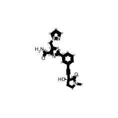 CN1CC[C@@](O)(C#Cc2cccc(-c3nc(C(N)=O)c(Cn4cccn4)s3)c2)C1=O